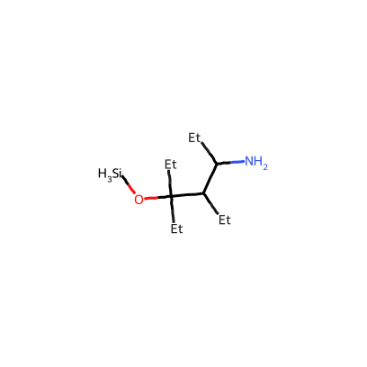 CCC(N)C(CC)C(CC)(CC)O[SiH3]